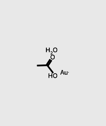 CC(=O)O.O.[Au]